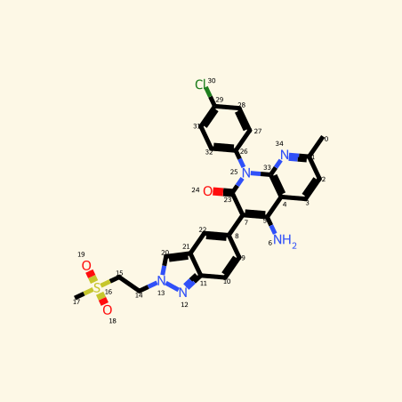 Cc1ccc2c(N)c(-c3ccc4nn(CCS(C)(=O)=O)cc4c3)c(=O)n(-c3ccc(Cl)cc3)c2n1